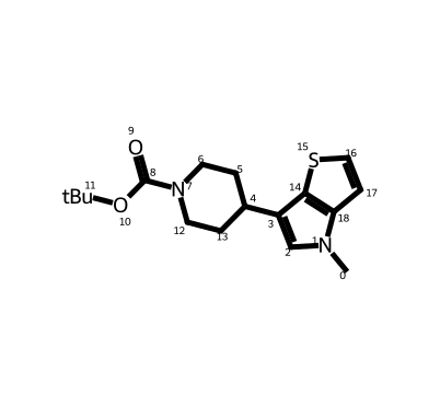 Cn1cc(C2CCN(C(=O)OC(C)(C)C)CC2)c2sccc21